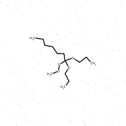 CCCCCCC(OCCC)(OCCC)OOC